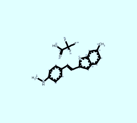 CNc1ccc(C=Cc2cc3ccc(C)cc3o2)cc1.O=C(O)C(F)(F)F